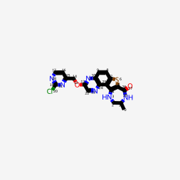 CC1CNc2c(sc3ccc4nc(OCc5ccnc(Cl)n5)cnc4c23)C(=O)N1